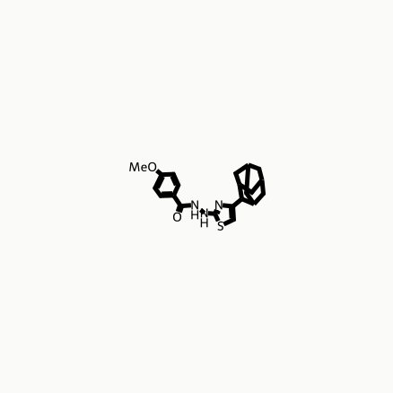 COc1ccc(C(=O)NNc2nc(C3C4CC5CC(C4)CC3C5)cs2)cc1